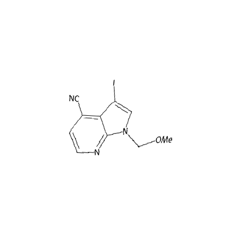 COCn1cc(I)c2c(C#N)ccnc21